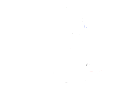 CCCC(C)(O)C1CCCCC1COc1cncc(Cl)c1